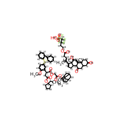 CCC1(OC(=O)CC(C(=O)OCC(=O)OC2(C)C3CC4CC(C3)CC2C4)c2cc(-[s+]3c4ccccc4c4ccccc43)ccc2OC)CCCC1.C[C@H](CCC(=O)OCCC(F)(F)C(F)(F)S(=O)(=O)O)C1=CCC2C3C(=O)CC4CC(=O)CCC4(C)C3=CC(=O)C12C